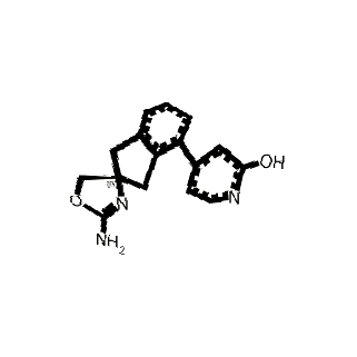 NC1=N[C@]2(CO1)Cc1cccc(-c3ccnc(O)c3)c1C2